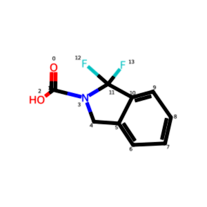 O=C(O)N1Cc2ccccc2C1(F)F